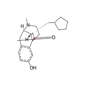 CN1CCC23CC(=O)[C@@H](CC4CCCC4)C[C@H]2[C@H]1Cc1ccc(O)cc13